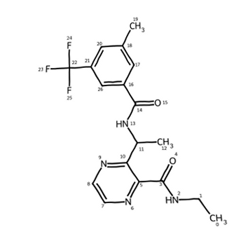 CCNC(=O)c1nccnc1C(C)NC(=O)c1cc(C)cc(C(F)(F)F)c1